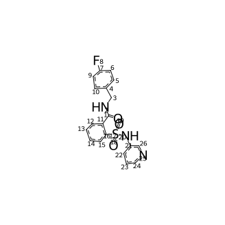 O=C(NCc1ccc(F)cc1)c1ccccc1S(=O)(=O)Nc1cccnc1